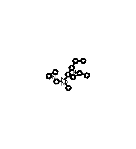 c1ccc(-c2cccc(-c3ccc(-c4ccc(-c5nc(-c6ccccc6)nc(-c6cccc(-n7c8ccccc8c8ccccc87)c6)n5)cc4)c(-n4c5ccccc5c5cc(-c6ccccc6)ccc54)c3)c2)cc1